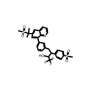 CC(C)(c1cc(-c2cccc(CC(c3ccc(S(C)(=O)=O)cc3)C(O)C(F)(F)F)c2)c2ncccc2c1)S(C)(=O)=O